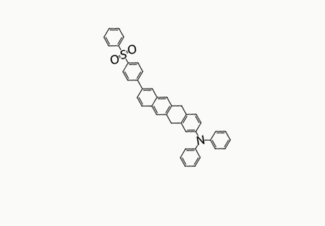 O=S(=O)(c1ccccc1)c1ccc(-c2ccc3cc4c(cc3c2)Cc2ccc(N(c3ccccc3)c3ccccc3)cc2C4)cc1